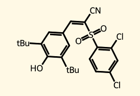 CC(C)(C)c1cc(/C=C(/C#N)S(=O)(=O)c2ccc(Cl)cc2Cl)cc(C(C)(C)C)c1O